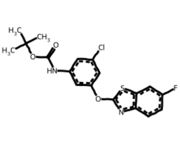 CC(C)(C)OC(=O)Nc1cc(Cl)cc(Oc2nc3ccc(F)cc3s2)c1